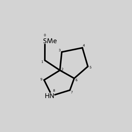 CSCC12CCCC1CNC2